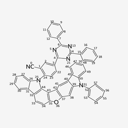 N#Cc1cc(-c2nc(-c3ccccc3)nc(-c3ccccc3)n2)ccc1-n1c2ccccc2c2ccc3oc4cc5c(cc4c3c21)c1ccccc1n5-c1ccccc1